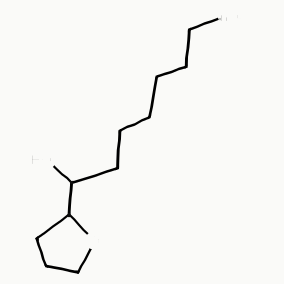 CCCCCCCCCCCCCCC(O)C1CCCO1